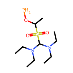 CCN(CC)C(N(CC)CC)S(=O)(=O)C(C)OP